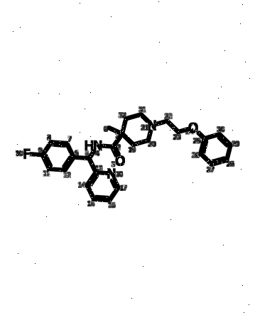 CC1(C(=O)NC(c2ccc(F)cc2)c2ccccn2)CCN(CCOc2ccccc2)CC1